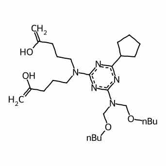 C=C(O)CCCN(CCCC(=C)O)c1nc(C2CCCC2)nc(N(COCCCC)COCCCC)n1